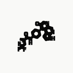 CN(CC(F)(F)F)C(=O)N[C@H]1CC[C@H](n2c(=O)cnc3cnc4[nH]ccc4c32)CC1